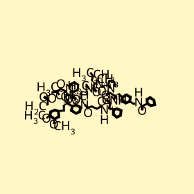 C=CC(=O)OCC(C)(C)C(=O)C(=O)N1CCCC[C@H]1C(=O)O[C@H](CCc1ccc(OC)c(OC)c1)c1cccc(NC(=O)CCC(=O)N[C@H](C(=O)N[C@@H](Cc2ccc(CNC(=O)c3ccccc3)cc2)C(=O)N2CCC[C@@H]2C(=O)N(C)[C@@H](CC(C)C)C(=O)N(C)CC)c2ccccc2)c1